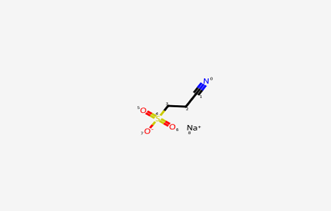 N#CCCS(=O)(=O)[O-].[Na+]